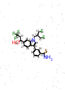 NC(=S)c1cccc(-c2cn(CC(CF)CF)c3cc(C(O)CC(F)(F)F)ccc23)c1